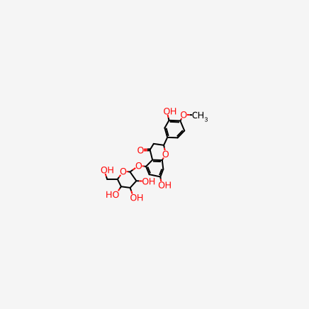 COc1ccc(C2CC(=O)c3c(cc(O)cc3OC3OC(CO)C(O)C(O)C3O)O2)cc1O